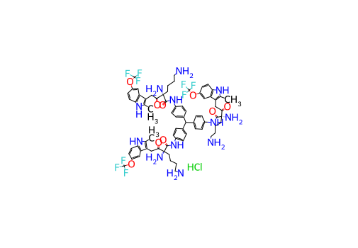 Cc1[nH]c2ccc(OC(F)(F)F)cc2c1CC(=O)[C@@](N)(CCCCN)C(=O)Nc1ccc(C(c2ccc(NC(=O)[C@](N)(CCCCN)C(=O)Cc3c(C)[nH]c4ccc(OC(F)(F)F)cc34)cc2)c2ccc(NC(=O)[C@](N)(CCCCN)C(=O)Cc3c(C)[nH]c4ccc(OC(F)(F)F)cc34)cc2)cc1.Cl